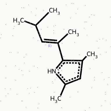 C/C(=C\C(C)C)c1[nH]c(C)cc1C